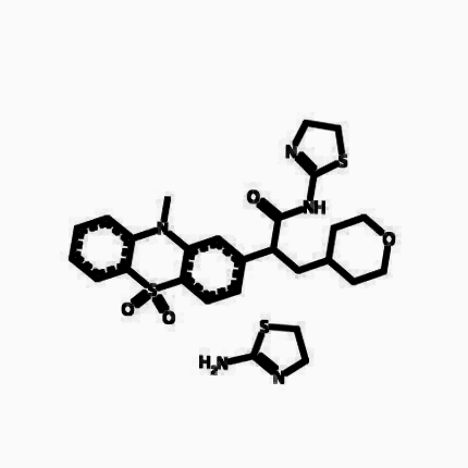 CN1c2ccccc2S(=O)(=O)c2ccc(C(CC3CCOCC3)C(=O)NC3=NCCS3)cc21.NC1=NCCS1